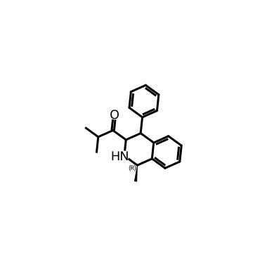 CC(C)C(=O)C1N[C@H](C)c2ccccc2C1c1ccccc1